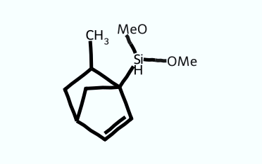 CO[SiH](OC)C12C=CC(CC1C)C2